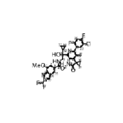 COc1cc(C(=O)NC[C@](O)(c2cc(C3(C(N)=O)CC3)c(F)c(-c3cc(Cl)c(F)cc3F)n2)C2CC2)cc2cn(C(F)F)nc12